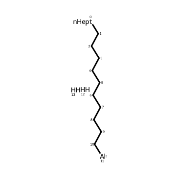 CCCCCCCCCCCCCCCC[CH2][Al].[HH].[HH]